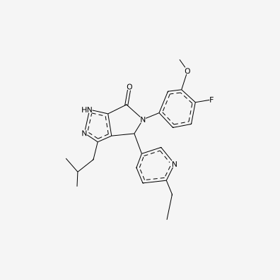 CCc1ccc(C2c3c(CC(C)C)n[nH]c3C(=O)N2c2ccc(F)c(OC)c2)cn1